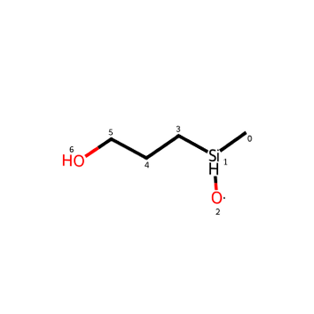 C[SiH]([O])CCCO